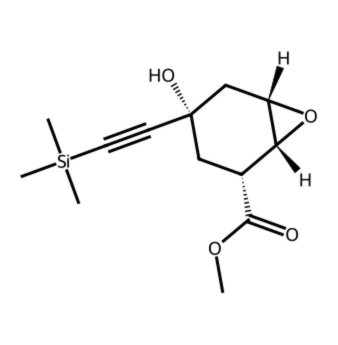 COC(=O)[C@@H]1C[C@@](O)(C#C[Si](C)(C)C)C[C@@H]2O[C@@H]21